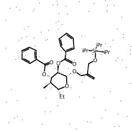 C=C(CO[C@@H]1O[C@H](CC)[C@@H](C)[C@H](OC(=O)c2ccccc2)[C@H]1OC(=O)c1ccccc1)CO[Si](C(C)C)(C(C)C)C(C)C